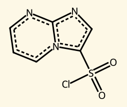 O=S(=O)(Cl)c1cnc2ncccn12